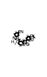 C[C@]1(Cn2cnc3ccc(C#N)cc32)CCC[C@@]2(CN(c3ccc4c(c3)OCCO4)C(=O)O2)C1